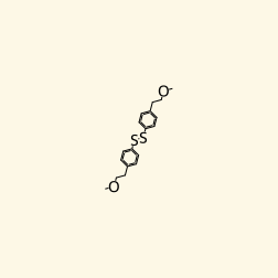 COCCc1ccc(SSc2ccc(CCOC)cc2)cc1